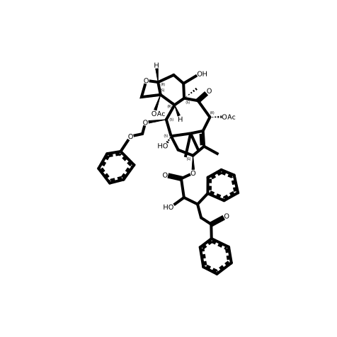 CC(=O)O[C@H]1C(=O)[C@]2(C)C(O)C[C@H]3OC[C@@]3(OC(C)=O)[C@H]2[C@H](OCOc2ccccc2)[C@]2(O)C[C@H](OC(=O)C(O)C(CC(=O)c3ccccc3)c3ccccc3)C(C)=C1C2(C)C